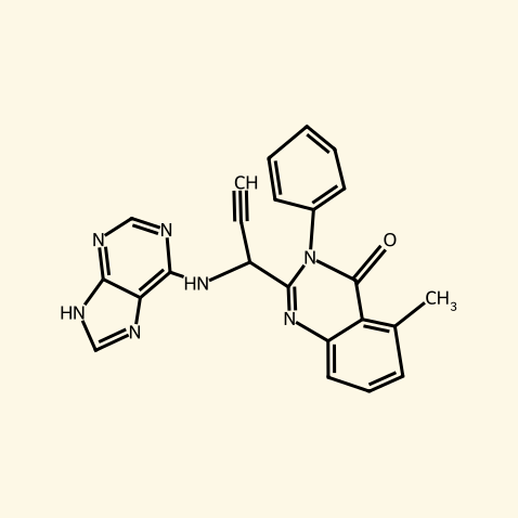 C#CC(Nc1ncnc2[nH]cnc12)c1nc2cccc(C)c2c(=O)n1-c1ccccc1